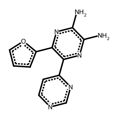 Nc1nc(-c2ccncn2)c(-c2ccco2)nc1N